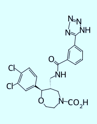 O=C(NC[C@@H]1CN(C(=O)O)CCO[C@H]1c1ccc(Cl)c(Cl)c1)c1cccc(-c2nnn[nH]2)c1